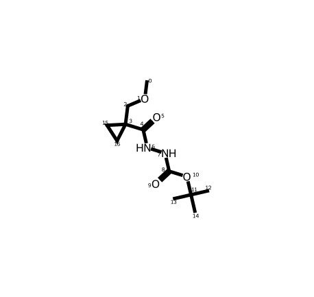 COCC1(C(=O)NNC(=O)OC(C)(C)C)CC1